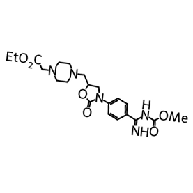 CCOC(=O)CN1CCN(CC2CN(c3ccc(C(=N)NC(=O)OC)cc3)C(=O)O2)CC1